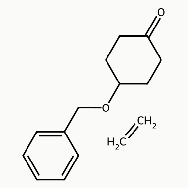 C=C.O=C1CCC(OCc2ccccc2)CC1